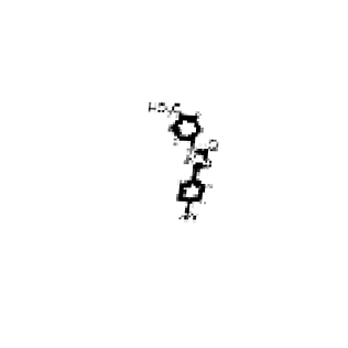 CC(C)c1ccc(-c2nn(-c3ccc(C(=O)O)cc3)c(=O)o2)cc1